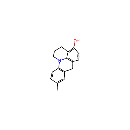 Cc1ccc2c(c1)Cc1ccc(O)c3c1N2CCC3